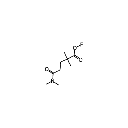 CN(C)C(=O)CCC(C)(C)C(=O)OF